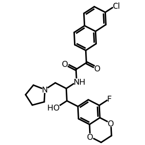 O=C(NC(CN1CCCC1)C(O)c1cc(F)c2c(c1)OCCO2)C(=O)c1ccc2ccc(Cl)cc2c1